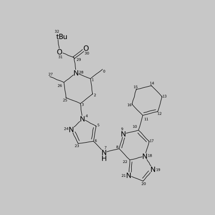 CC1CC(n2cc(Nc3nc(C4=CCCCC4)cn4ncnc34)cn2)CC(C)N1C(=O)OC(C)(C)C